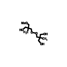 COCC(C)(CO)COOCC(C)(CO)CO